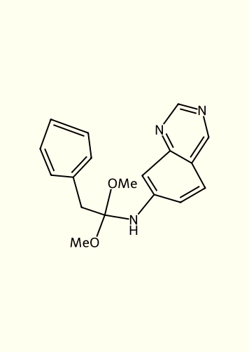 COC(Cc1ccccc1)(Nc1ccc2cncnc2c1)OC